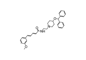 COc1[c]ccc(C=CC=CC(=O)NCCN2CCC(OC(c3ccccc3)c3ccccc3)CC2)c1